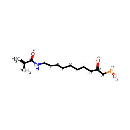 C=C(C)C(=O)NCCCCCCCCC(=O)CP=O